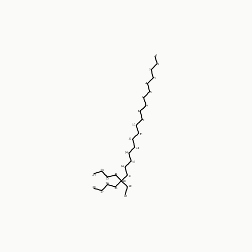 CCCCCCCCCCCCCCCCCCC(CC)(CCCC)CCCC